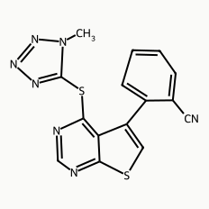 Cn1nnnc1Sc1ncnc2scc(-c3ccccc3C#N)c12